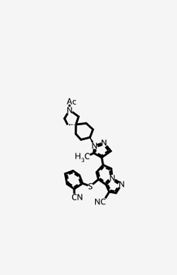 CC(=O)N1CC[C@]2(CC[C@H](n3ncc(-c4cc(Sc5ccccc5C#N)c5c(C#N)cnn5c4)c3C)CC2)C1